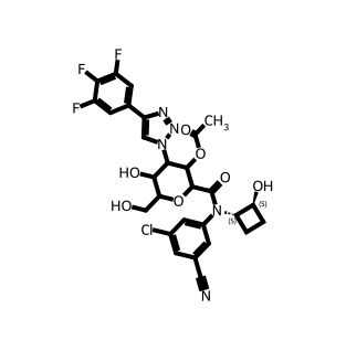 CC(=O)OC1C(C(=O)N(c2cc(Cl)cc(C#N)c2)[C@H]2CC[C@@H]2O)OC(CO)C(O)C1n1cc(-c2cc(F)c(F)c(F)c2)nn1